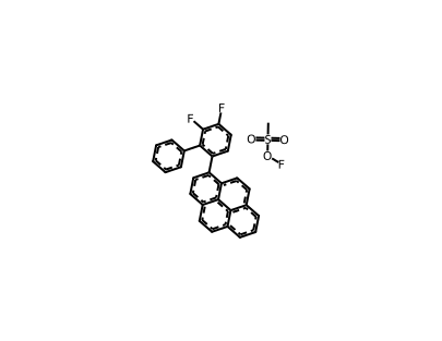 CS(=O)(=O)OF.Fc1ccc(-c2ccc3ccc4cccc5ccc2c3c45)c(-c2ccccc2)c1F